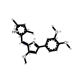 COC1=CC(c2ccc(OC)c(OC)c2)=N/C1=C\c1[nH]c(C)cc1C